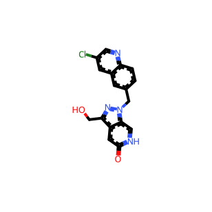 O=c1cc2c(CO)nn(Cc3ccc4ncc(Cl)cc4c3)c2c[nH]1